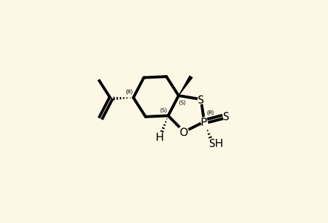 C=C(C)[C@@H]1CC[C@]2(C)S[P@](=S)(S)O[C@H]2C1